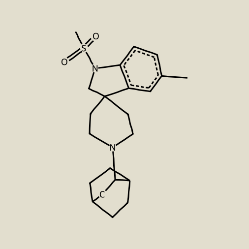 Cc1ccc2c(c1)C1(CCN(C3CC4CCC3CC4)CC1)CN2S(C)(=O)=O